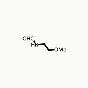 COCCN[C]=O